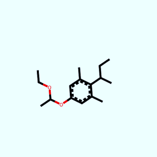 CCOC(C)Oc1cc(C)c(C(C)CC)c(C)c1